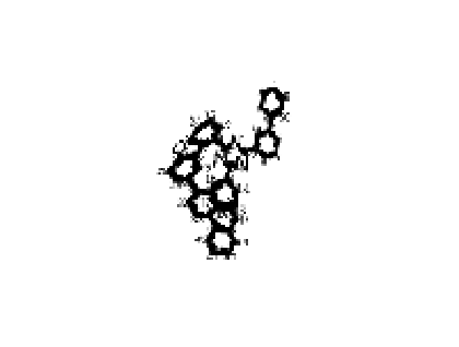 C1=CCCC(c2cccc(-c3nc(-c4ccccc4)nc(-c4cccc5oc6ccc(-c7ccc8c(ccc9ccccc98)c7)cc6c45)n3)c2)=C1